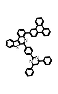 c1ccc(-c2cc(-c3ccccc3)nc(-c3ccc(-c4nc5c(-c6ccc7c8ccccc8c8ccccc8c7c6)cccc5c5c4sc4ccccc45)cc3)n2)cc1